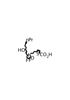 CCCC#CCCC(O)C=CC1CC(F)(F)C(=O)N1CCCc1ccc(C(=O)O)s1